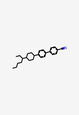 CCCCC(CC)C1CCC(c2ccc(-c3ccc(C#N)cc3)cc2)CC1